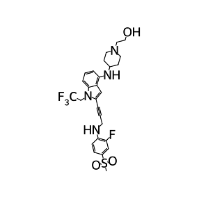 CS(=O)(=O)c1ccc(NCC#Cc2cc3c(NC4CCN(CCO)CC4)cccc3n2CC(F)(F)F)c(F)c1